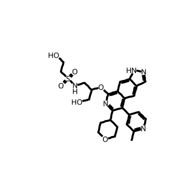 Cc1cc(-c2c(C3CCOCC3)nc(OC(CO)CNS(=O)(=O)CCO)c3cc4[nH]ncc4cc23)ccn1